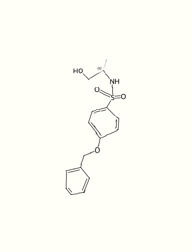 C[C@@H](CO)NS(=O)(=O)c1ccc(OCc2ccccc2)cc1